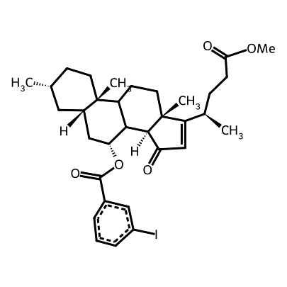 COC(=O)CC[C@@H](C)C1=CC(=O)[C@H]2C3C(CC[C@]12C)[C@@]1(C)CC[C@@H](C)C[C@H]1C[C@H]3OC(=O)c1cccc(I)c1